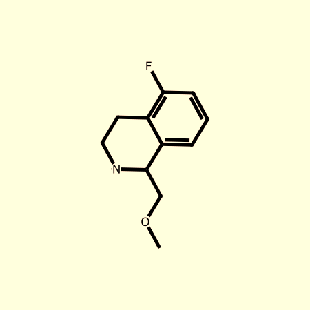 COCC1[N]CCc2c(F)cccc21